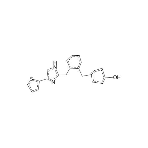 Oc1ccc(Cc2ccccc2Cc2nc(-c3cccs3)c[nH]2)cc1